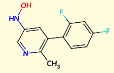 Cc1ncc(NO)cc1-c1ccc(F)cc1F